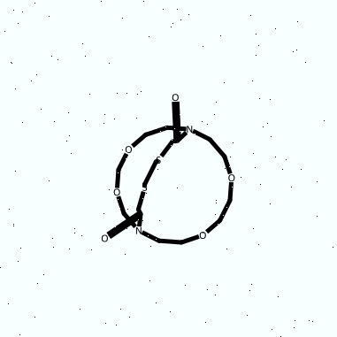 O=C1CSCCSCC(=O)N2CCOCCOCCN1CCOCOC2